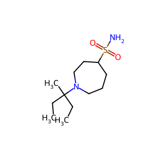 CCC(C)(CC)N1CCCC(S(N)(=O)=O)CC1